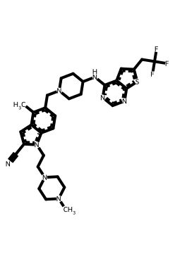 Cc1c(CN2CCC(Nc3ncnc4sc(CC(F)(F)F)cc34)CC2)ccc2c1cc(C#N)n2CCN1CCN(C)CC1